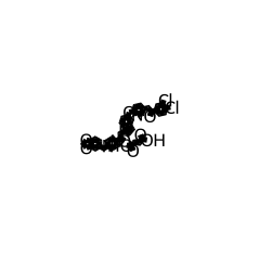 O=C(Cc1ccc(Oc2ccc3c(ccn3CC(=O)N3CCN(Cc4ccc5c(c4)OCO5)CC3)c2)nc1)c1ccc(Cl)c(Cl)c1.O=C(O)/C=C/C(=O)O